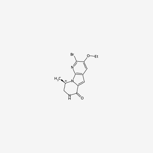 CCOc1cc2cc3n(c2nc1Br)[C@H](C)CNC3=O